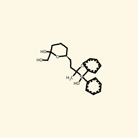 CC(C)(CC[C@@H]1CCCC(O)(CO)O1)[Si](O)(c1ccccc1)c1ccccc1